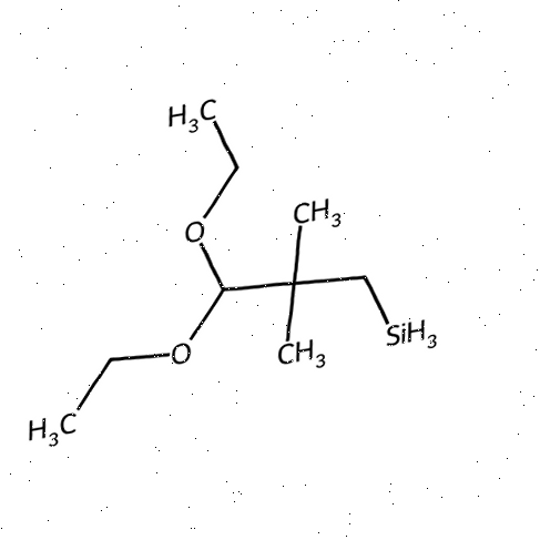 CCOC(OCC)C(C)(C)C[SiH3]